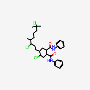 CC(CCCC(C)(C)Cl)C(Cl)CCC1CC(C(=O)Nc2ccccc2)C(C(=O)Nc2ccccc2)CC1Cl